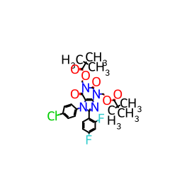 CC(C)(C)C(=O)OCn1c(=O)c2c(nc(-c3ccc(F)cc3F)n2-c2ccc(Cl)cc2)n(COC(=O)C(C)(C)C)c1=O